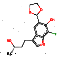 C[C@H](O)CCc1coc2c(F)c(O)c(C3OCCO3)cc12